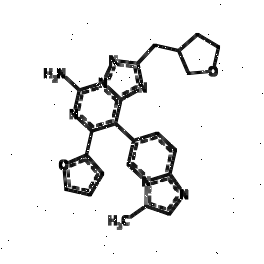 Cc1cnc2ccc(-c3c(-c4ccco4)nc(N)n4nc(CC5CCOC5)nc34)cn12